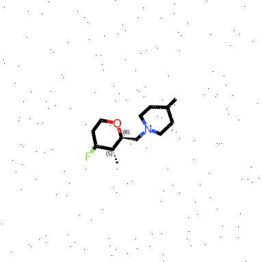 CC1CCN(C[C@@H]2OCCC(F)[C@H]2C)CC1